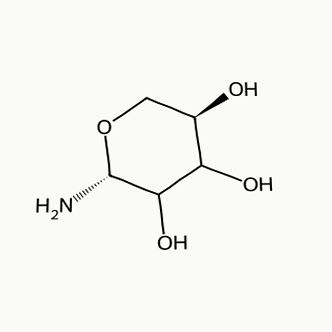 N[C@@H]1OC[C@@H](O)C(O)C1O